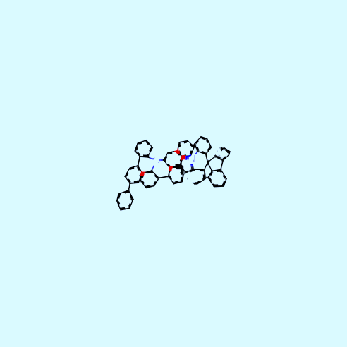 c1ccc(-c2ccc(-c3ccccc3N(c3ccc4c(c3)c3cccc5c3n4-c3ccccc3C53c4ccccc4-c4ccccc43)c3ccccc3-c3cccc(-c4ccccc4)c3)cc2)cc1